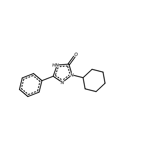 O=c1[nH]c(-c2ccccc2)nn1C1CCCCC1